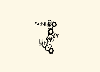 CCCC(=O)N(CCNC(=O)C(CS)Cc1ccccc1)Cc1ccc(-c2ccccc2S(=O)(=O)NC(C)=O)cc1